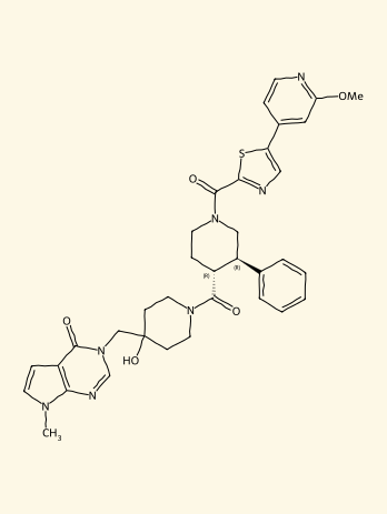 COc1cc(-c2cnc(C(=O)N3CC[C@@H](C(=O)N4CCC(O)(Cn5cnc6c(ccn6C)c5=O)CC4)[C@H](c4ccccc4)C3)s2)ccn1